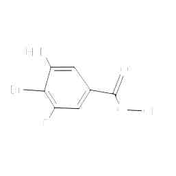 COC(=O)c1cc(F)c(Br)c(P)c1